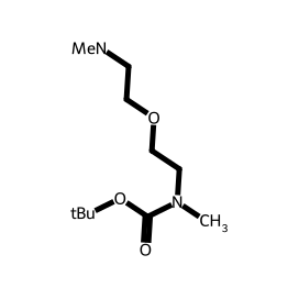 CNCCOCCN(C)C(=O)OC(C)(C)C